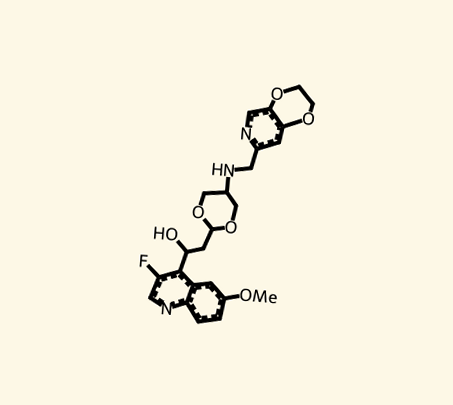 COc1ccc2ncc(F)c(C(O)CC3OCC(NCc4cc5c(cn4)OCCO5)CO3)c2c1